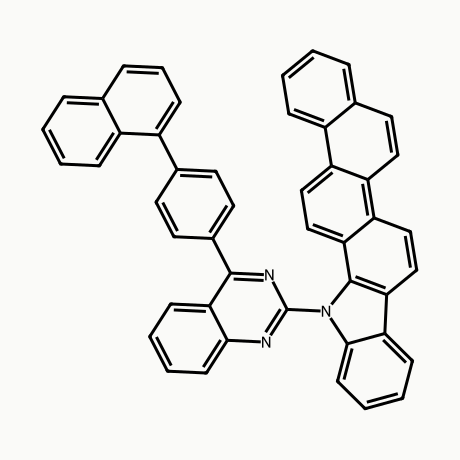 c1ccc2c(-c3ccc(-c4nc(-n5c6ccccc6c6ccc7c8ccc9ccccc9c8ccc7c65)nc5ccccc45)cc3)cccc2c1